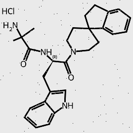 CC(C)(N)C(=O)N[C@H](Cc1c[nH]c2ccccc12)C(=O)N1CCC2(CCc3ccccc32)CC1.Cl